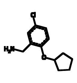 NCc1cc(Cl)ccc1OC1CCCC1